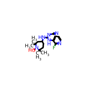 CC1(C)CCC(N/C(=N/C#N)Nc2cccnc2F)CC(C)(C)N1O